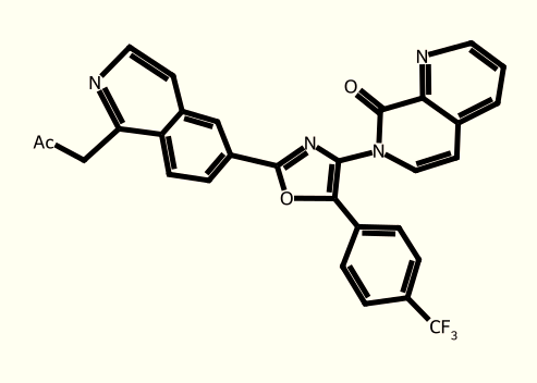 CC(=O)Cc1nccc2cc(-c3nc(-n4ccc5cccnc5c4=O)c(-c4ccc(C(F)(F)F)cc4)o3)ccc12